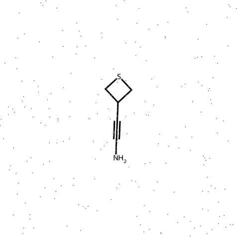 NC#CC1CSC1